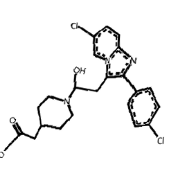 O=C(O)CC1CCN(C(O)Cc2c(-c3ccc(Cl)cc3)nc3ccc(Cl)cn23)CC1